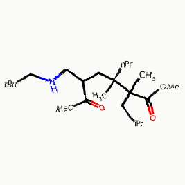 CCC[C@@](C)(CC(CNCC(C)(C)C)C(=O)OC)C(C)(CC(C)C)C(=O)OC